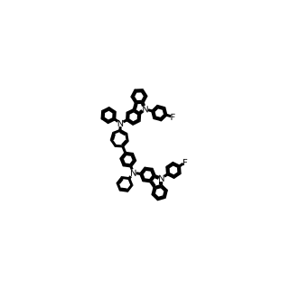 Fc1ccc(-n2c3ccccc3c3cc(N(C4=CC=C(c5ccc(N(c6ccc7c(c6)c6ccccc6n7-c6ccc(F)cc6)C6C=CC=CC6)cc5)CC=C4)c4ccccc4)ccc32)cc1